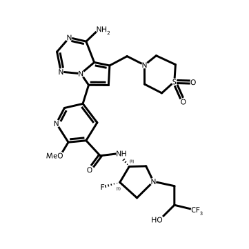 COc1ncc(-c2cc(CN3CCS(=O)(=O)CC3)c3c(N)ncnn23)cc1C(=O)N[C@@H]1CN(CC(O)C(F)(F)F)C[C@@H]1F